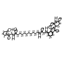 O=CC1CCCN1C(=O)CNC(=O)CCCCCCCCCCNC(=O)CNc1cccc2c1C(=O)N(C1CCC(=O)NC1=O)C2=O